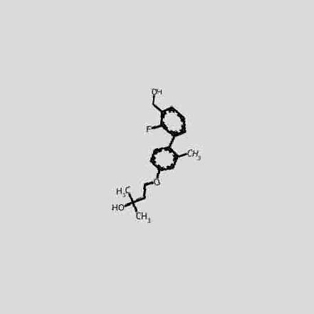 Cc1cc(OCCC(C)(C)O)ccc1-c1cccc(CO)c1F